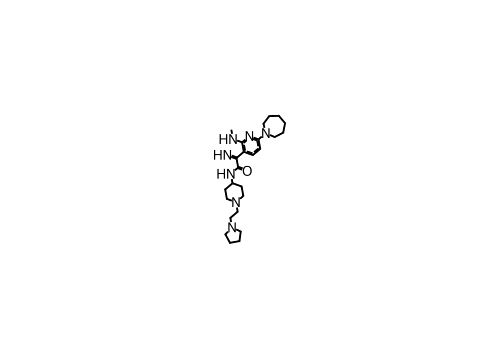 CNc1nc(N2CCCCCC2)ccc1C(=N)C(=O)NC1CCN(CCN2CCCC2)CC1